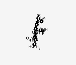 CC(C)c1ccccc1[C@H]1CS(=O)(=O)CCN1C1CC2(CCN(c3ccc(C(=O)NS(=O)(=O)c4cc5c(c([N+](=O)[O-])c4)N[C@@H]([C@H]4CC[C@](C)(O)CC4)CO5)c(Oc4cnc5[nH]cc(F)c5c4)c3)CC2)C1